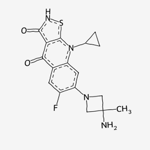 CC1(N)CN(c2cc3c(cc2F)c(=O)c2c(=O)[nH]sc2n3C2CC2)C1